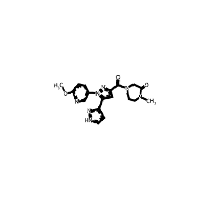 COc1ccc(-n2nc(C(=O)N3CCN(C)C(=O)C3)cc2-c2cc[nH]n2)cn1